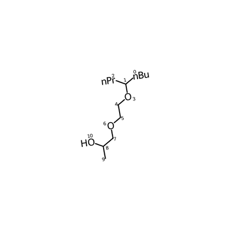 CCCCC(CCC)OCCOCC(C)O